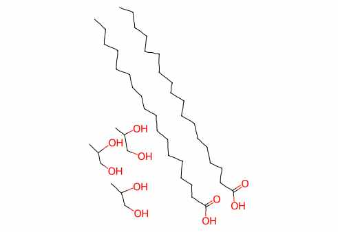 CC(O)CO.CC(O)CO.CC(O)CO.CCCCCCCCCCCCCCCCCC(=O)O.CCCCCCCCCCCCCCCCCC(=O)O